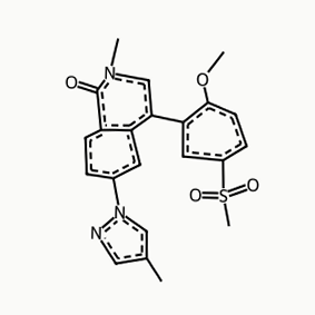 COc1ccc(S(C)(=O)=O)cc1-c1cn(C)c(=O)c2ccc(-n3cc(C)cn3)cc12